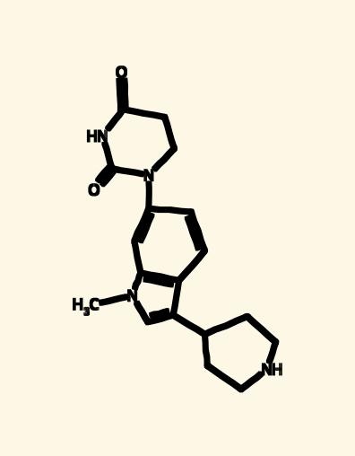 Cn1cc(C2CCNCC2)c2ccc(N3CCC(=O)NC3=O)cc21